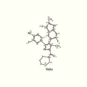 CN[C@@H]1CCCN(C(=O)c2nc(-c3ccc(C#N)c(F)c3)n(-c3cc4c(F)n(C)nc4cc3F)c2C)C1